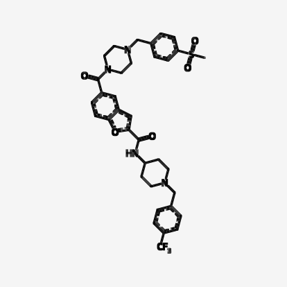 CS(=O)(=O)c1ccc(CN2CCN(C(=O)c3ccc4oc(C(=O)NC5CCN(Cc6ccc(C(F)(F)F)cc6)CC5)cc4c3)CC2)cc1